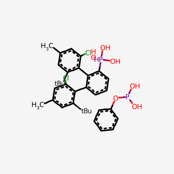 Cc1cc(Cl)c(-c2cccc([PH](O)(O)O)c2-c2c(Cl)cc(C)cc2C(C)(C)C)c(C(C)(C)C)c1.OP(O)Oc1ccccc1